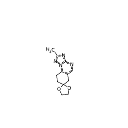 Cc1nc2ncc3c(n2n1)CCC1(C3)OCCO1